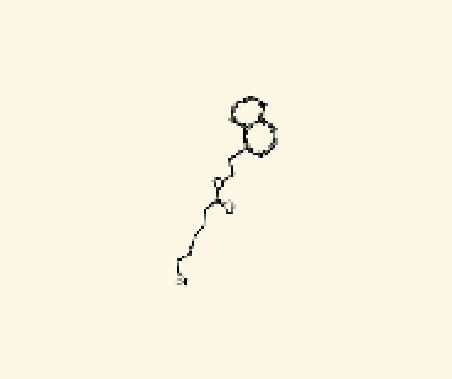 O=C(CCCCCBr)OCCc1cccc2ccccc12